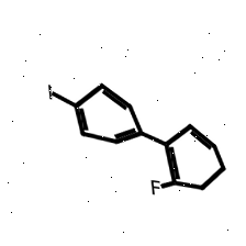 FC1=C(c2ccc(I)cc2)C=CCC1